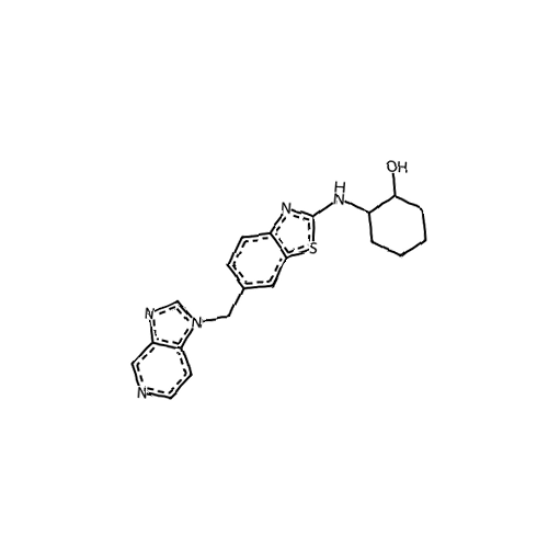 OC1CCCCC1Nc1nc2ccc(Cn3cnc4cnccc43)cc2s1